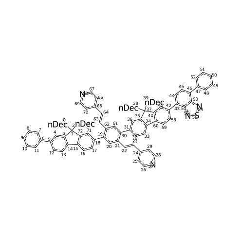 CCCCCCCCCCC1(CCCCCCCCCC)c2cc(-c3ccccc3)ccc2-c2ccc(-c3cc(/C=C/c4ccncc4)c(-c4ccc5c(c4)C(CCCCCCCCCC)(CCCCCCCCCC)c4cc(-c6ccc(-c7ccccc7)c7nsnc67)ccc4-5)cc3/C=C/c3ccncc3)cc21